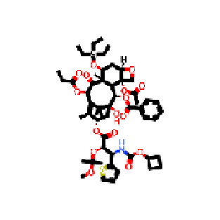 CCC(=O)O[C@H]1C(=O)[C@@]2(C)C([C@H](OC(=O)c3ccccc3)[C@]3(O)C[C@H](OC(=O)[C@H](OC(C)(C)OC)[C@@H](NC(=O)OC4CCC4)c4cccs4)C(C)=C1C3(C)C)[C@]1(OC(C)=O)CO[C@@H]1C[C@@H]2O[Si](CC)(CC)CC